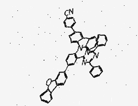 N#Cc1ccc(-c2ccc3c(c2)c2ccccc2n3-c2ccc(-c3ccc4c(c3)oc3ccccc34)cc2-c2nc(-c3ccccc3)nc(-c3ccccc3)n2)cc1